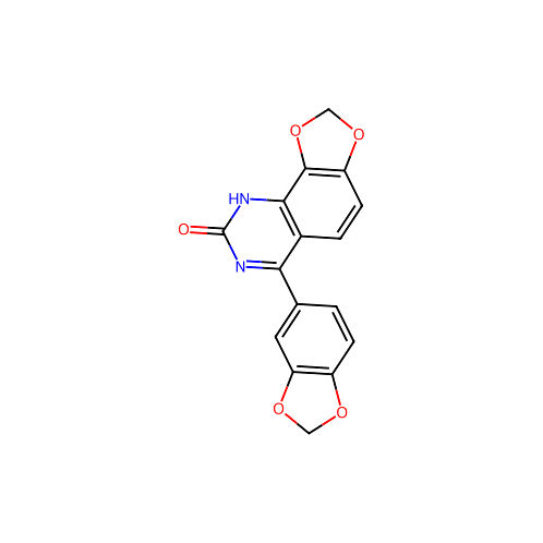 O=c1nc(-c2ccc3c(c2)OCO3)c2ccc3c(c2[nH]1)OCO3